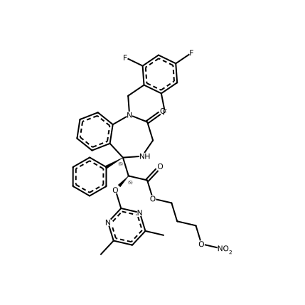 Cc1cc(C)nc(O[C@H](C(=O)OCCCO[N+](=O)[O-])[C@@]2(c3ccccc3)NCC(=O)N(Cc3c(F)cc(F)cc3F)c3ccccc32)n1